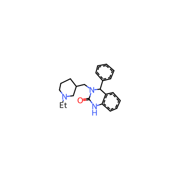 CCN1CCCC(CN2C(=O)Nc3ccccc3C2c2ccccc2)C1